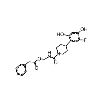 O=C(Cc1ccccc1)OCNC(=O)N1CCC(c2cc(F)c(O)cc2O)CC1